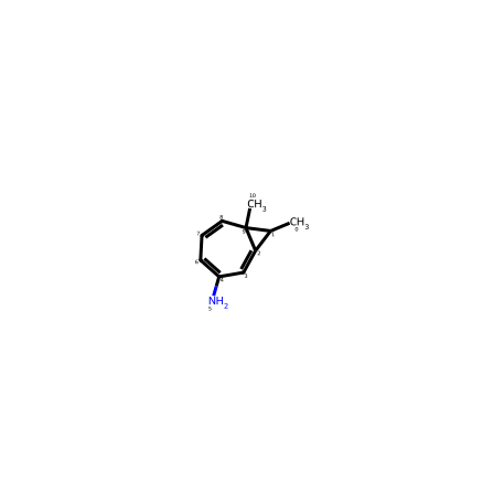 CC1C2=CC(N)=CC=CC21C